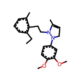 CCc1cccc(C)c1CCN1C(C)=CCN1c1ccc(OC)c(OC)c1